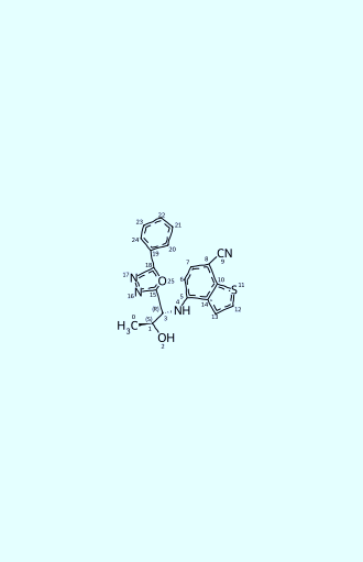 C[C@H](O)[C@@H](Nc1ccc(C#N)c2sccc12)c1nnc(-c2ccccc2)o1